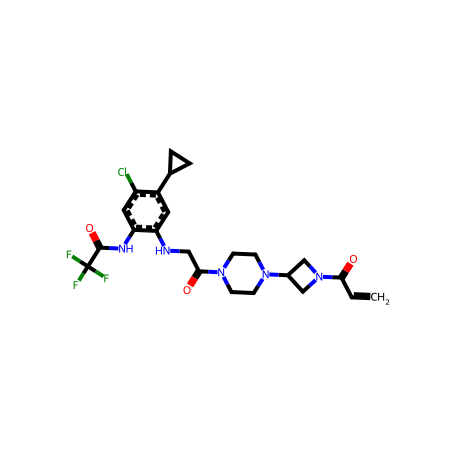 C=CC(=O)N1CC(N2CCN(C(=O)CNc3cc(C4CC4)c(Cl)cc3NC(=O)C(F)(F)F)CC2)C1